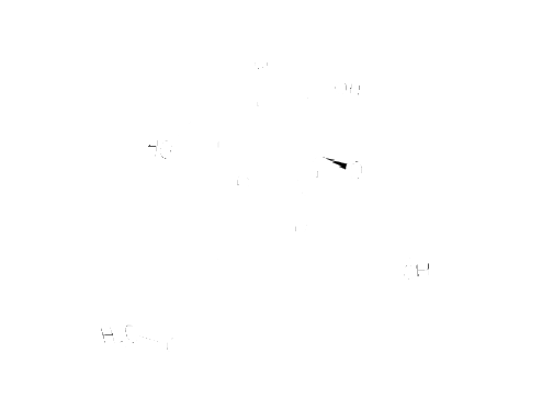 C=CCO[C@H]1[C@H](Oc2ccc(OC)cc2)O[C@H](CO)[C@H](O)[C@@H]1O